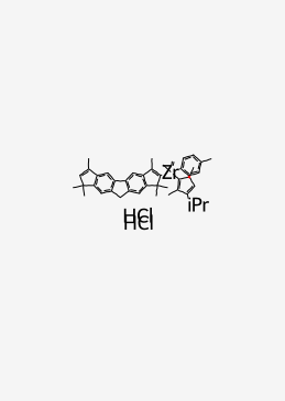 Cl.Cl.[CH2]=[Zr]([CH3])([C]1=C(C)C(C(C)C)=CC1C)([C]1=C(C)c2cc3c(cc2C1(C)C)Cc1cc2c(cc1-3)C(C)=CC2(C)C)[c]1ccc(C)cc1